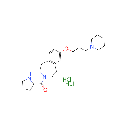 Cl.Cl.O=C(C1CCCN1)N1CCc2ccc(OCCCN3CCCCC3)cc2CC1